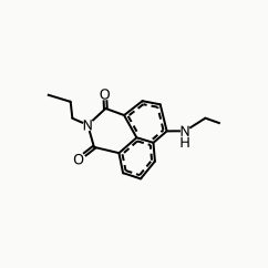 CCCN1C(=O)c2cccc3c(NCC)ccc(c23)C1=O